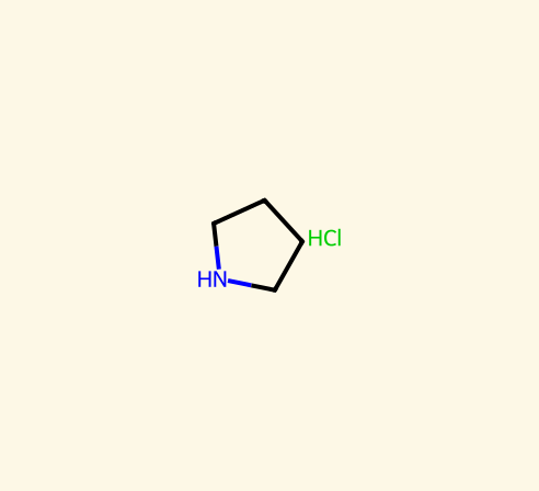 C1CCNC1.Cl